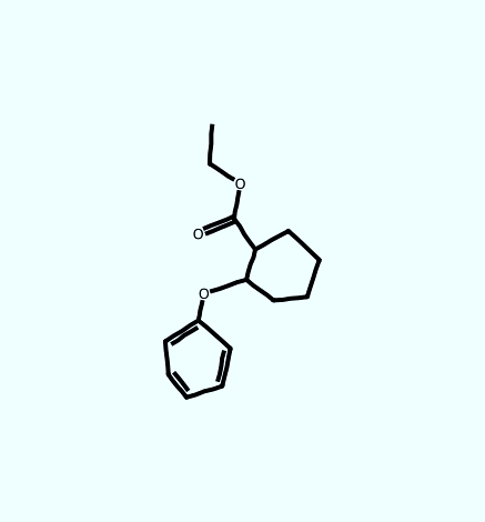 CCOC(=O)C1CCCCC1Oc1ccccc1